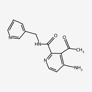 CC(=O)c1c(N)ccnc1C(=O)NCc1cccnc1